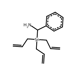 C=C[CH2][Sn]([CH2]C=C)([CH2]C=C)[CH](N)c1ccccc1